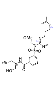 C=N/C(=N\CC/C=C\C(=C)C)N(COC)S(=O)(=O)c1cccc(C(=O)N[C@@H](CO)CC(C)(C)C)c1